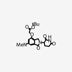 CNc1cc(OCC(=O)OC(C)(C)C)c2c(c1)C(=O)N(C1CCC(=O)NC1=O)C2